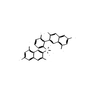 CC(C)(C)c1cc(C(C)(C)C)c2cc(-c3c(C(C)(C)C)cccc3P(O)(O)(O)c3cc4c(C(C)(C)C)cc(C(C)(C)C)cc4cc3C(C)(C)C)c(C(C)(C)C)cc2c1